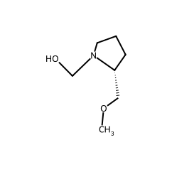 COC[C@H]1CCCN1CO